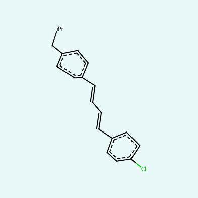 CC(C)Cc1ccc(/C=C/C=C/c2ccc(Cl)cc2)cc1